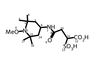 CON1C(C)(C)CC(NC(=O)CC(C(=O)O)S(=O)(=O)O)CC1(C)C